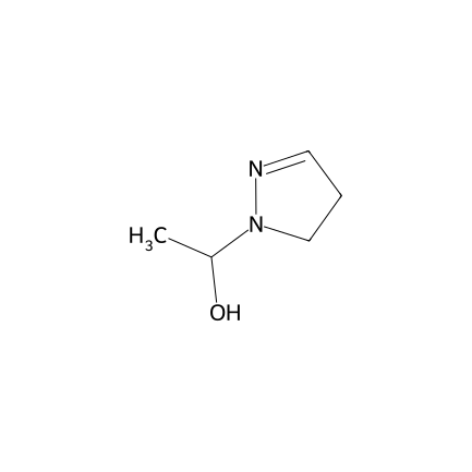 CC(O)N1CCC=N1